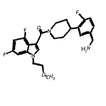 COCCn1cc(C(=O)N2CCC(c3cc(CN)ccc3F)CC2)c2c(F)cc(F)cc21